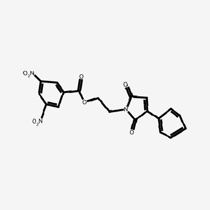 O=C(OCCN1C(=O)C=C(c2ccccc2)C1=O)c1cc([N+](=O)[O-])cc([N+](=O)[O-])c1